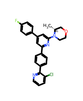 C[C@@H]1COCCN1c1cc(-c2ccc(F)cc2)cc(-c2ccc(-c3ncccc3Cl)cc2)n1